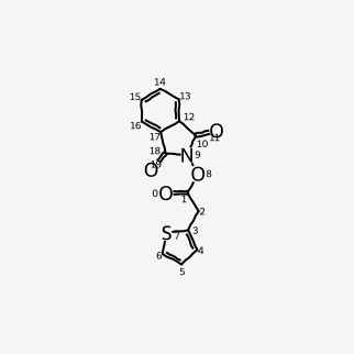 O=C(Cc1cccs1)ON1C(=O)c2ccccc2C1=O